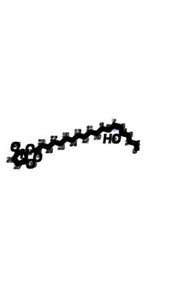 CCCC[C@@H](O)/C=C\CCCCCCCCCCCCC(=O)ON1C(=O)CCC1=O